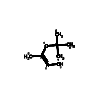 CC(=NO)OC(C)(C)C